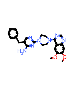 COc1cc2ncnc(N3CCN(c4ncc(Cc5ccccc5)c(N)n4)CC3)c2cc1OC